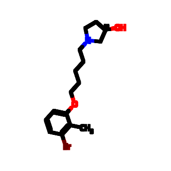 Cc1c(Br)cccc1OCCCCCN1CC[C@@H](O)C1